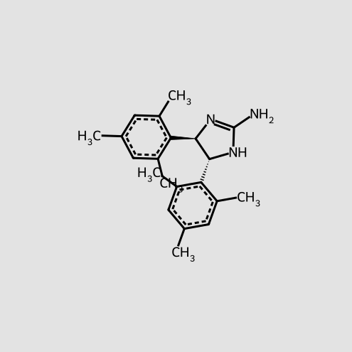 Cc1cc(C)c([C@H]2N=C(N)N[C@@H]2c2c(C)cc(C)cc2C)c(C)c1